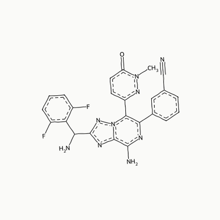 Cn1nc(-c2c(-c3cccc(C#N)c3)nc(N)c3nc(C(N)c4c(F)cccc4F)nn23)ccc1=O